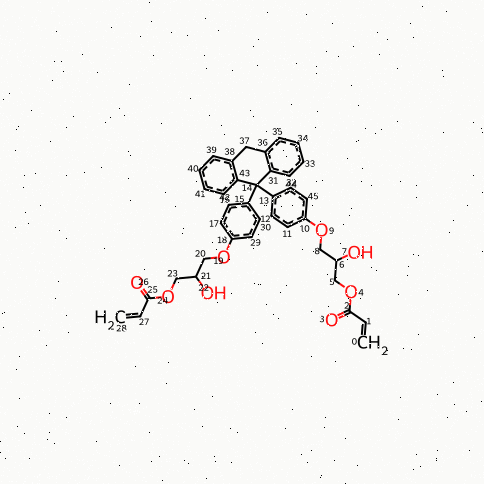 C=CC(=O)OCC(O)COc1ccc(C2(c3ccc(OCC(O)COC(=O)C=C)cc3)c3ccccc3Cc3ccccc32)cc1